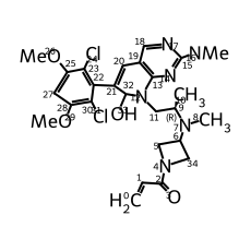 C=CC(=O)N1CC(N(C)[C@H](C)CN2c3nc(NC)ncc3C=C(c3c(Cl)c(OC)cc(OC)c3Cl)C2O)C1